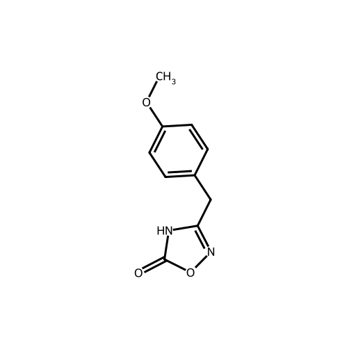 COc1ccc(Cc2noc(=O)[nH]2)cc1